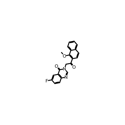 COc1c(C(=O)Cn2cnc3ccc(F)cc3c2=O)ccc2ccccc12